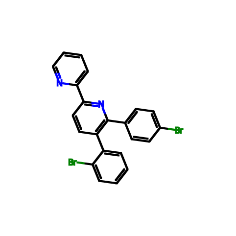 Brc1ccc(-c2nc(-c3ccccn3)ccc2-c2ccccc2Br)cc1